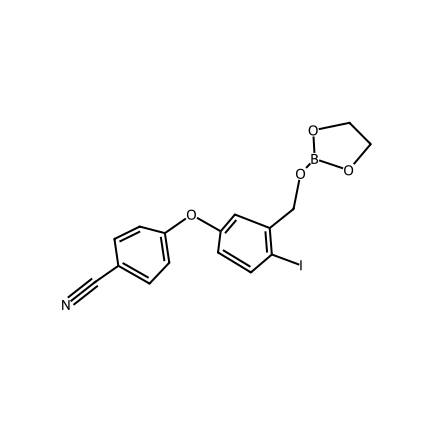 N#Cc1ccc(Oc2ccc(I)c(COB3OCCO3)c2)cc1